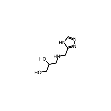 OCC(O)CNCc1nnc[nH]1